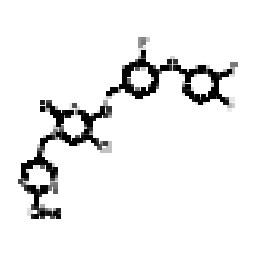 COc1ncc(Cn2cc(Cl)c(OCc3ccc(Oc4ccc(F)c(F)c4)c(F)c3)nc2=O)cn1